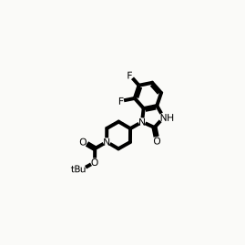 CC(C)(C)OC(=O)N1CCC(n2c(=O)[nH]c3ccc(F)c(F)c32)CC1